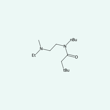 CCCCN(CCN(C)CC)C(=O)CC(C)(C)C